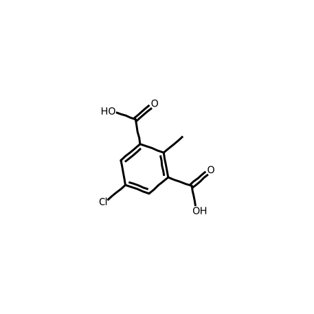 Cc1c(C(=O)O)cc(Cl)cc1C(=O)O